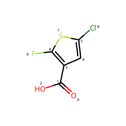 O=C(O)c1cc(Cl)sc1F